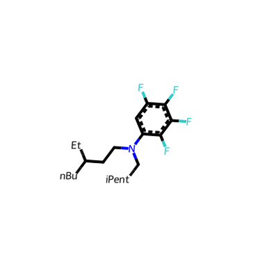 CCCCC(CC)CCN(CC(C)CCC)c1cc(F)c(F)c(F)c1F